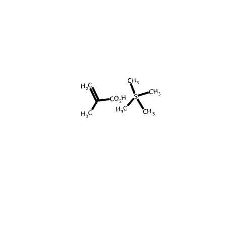 C=C(C)C(=O)O.CS(C)(C)C